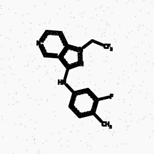 Cc1ccc(Nc2nn(CC(F)(F)F)c3ccncc23)cc1F